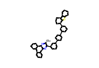 CC(C)(C)c1nc2c3ccccc3c3ccccc3c2nc1-c1cccc(-c2ccc(-c3cccc(-c4cccc5c4sc4ccccc45)c3)cc2)c1